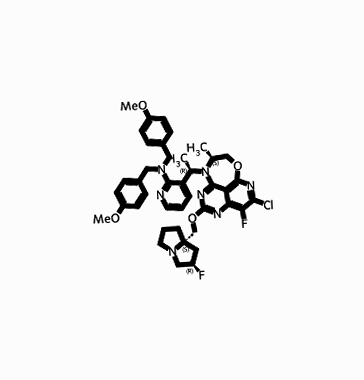 COc1ccc(CN(Cc2ccc(OC)cc2)c2ncccc2[C@@H](C)N2c3nc(OC[C@@]45CCCN4C[C@H](F)C5)nc4c(F)c(Cl)nc(c34)OC[C@@H]2C)cc1